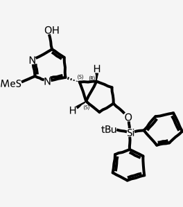 CSc1nc(O)cc([C@@H]2[C@@H]3CC(O[Si](c4ccccc4)(c4ccccc4)C(C)(C)C)C[C@@H]32)n1